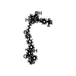 COc1cc(N2CCC(N3CCN(C(=O)CCCCCCC(=O)NC(C(=O)N4C[C@H](O)C[C@H]4C(=O)NCc4ccc(-c5scnc5C)cc4)C(C)(C)C)CC3)CC2)ccc1Nc1ncc(Cl)c(Nc2ccccc2S(=O)(=O)C(C)C)n1